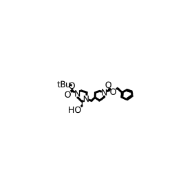 CC(C)(C)OC(=O)N1CCN(CC2CCN(C(=O)OCc3ccccc3)CC2)[C@@H](CO)C1